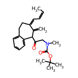 C=C1/C(=C\C=C/C)CCc2ccccc2C1C(=O)CN(C)C(=O)OC(C)(C)C